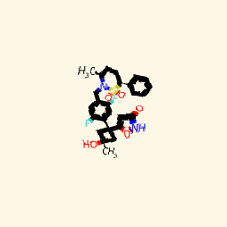 C[C@H]1CC[C@H](c2ccccc2)S(=O)(=O)N1Cc1cc(F)c([C@]2(c3cc(=O)[nH]o3)C[C@](C)(O)C2)cc1F